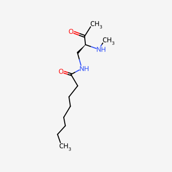 CCCCCCCC(=O)NC[C@H](NC)C(C)=O